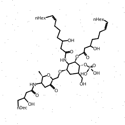 CCCCCC/C=C\CCCC(O)CC(=O)NC1[C@@H](OC(=O)CC(O)CCC/C=C\CCCCCC)[C@H](OP(=O)(O)O)C(CO)C[C@H]1OCC1O[C@H](C)C(NC(=O)CC(O)CCCCCCCCCCC)CC1=O